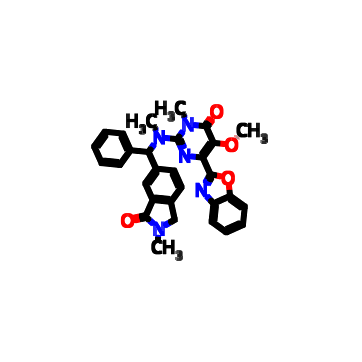 COc1c(-c2nc3ccccc3o2)nc(N(C)C(c2ccccc2)c2ccc3c(c2)C(=O)N(C)C3)n(C)c1=O